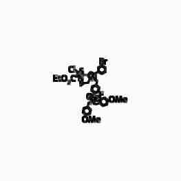 CCOC(=O)c1nc(-c2cc(-c3cccc(Br)c3)n(Cc3ccc(S(=O)(=O)N(Cc4ccc(OC)cc4)Cc4ccc(OC)cc4)c(F)c3)c2CC2CC2)sc1Cl